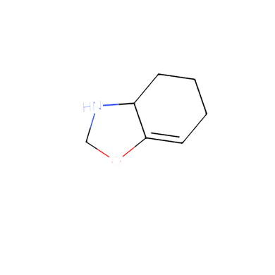 C1=C2OCNC2CCC1